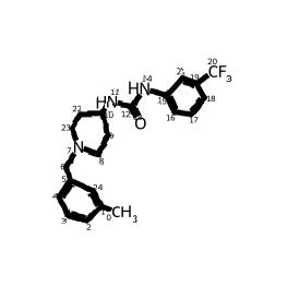 Cc1cccc(CN2CCC(NC(=O)Nc3cccc(C(F)(F)F)c3)CC2)c1